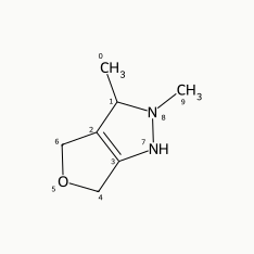 CC1C2=C(COC2)NN1C